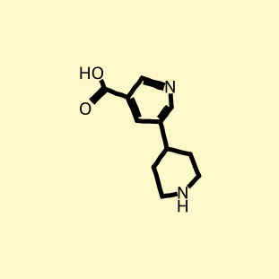 O=C(O)c1cncc(C2CCNCC2)c1